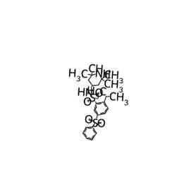 CC(C)c1ccc(S(=O)(=O)c2ccccc2)cc1S(=O)(=O)NC1CC(C)(C)NC(C)(C)C1